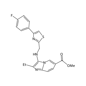 CCc1nc2ccc(C(=O)OC)cn2c1NCc1nc(-c2ccc(F)cc2)cs1